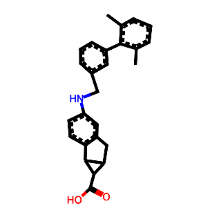 Cc1cccc(C)c1-c1cccc(CNc2ccc3c(c2)CC2C(C(=O)O)C32)c1